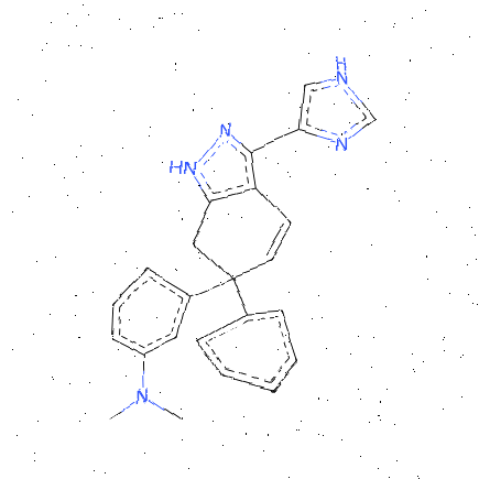 CN(C)c1cccc(C2(c3ccccc3)C=Cc3c(-c4c[nH]cn4)n[nH]c3C2)c1